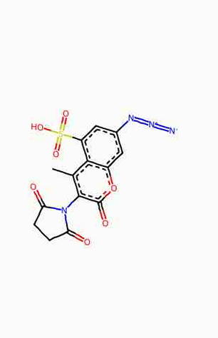 Cc1c(N2C(=O)CCC2=O)c(=O)oc2cc(N=[N+]=[N-])cc(S(=O)(=O)O)c12